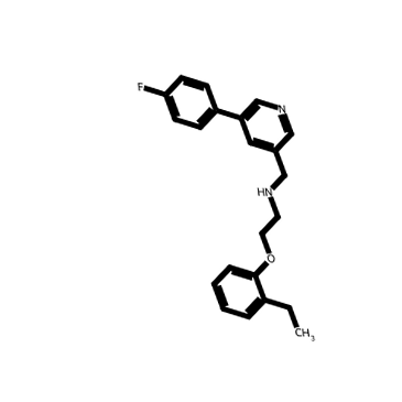 CCc1ccccc1OCCNCc1cncc(-c2ccc(F)cc2)c1